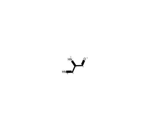 N=CC(=N)C=O